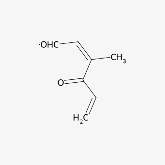 C=CC(=O)C(C)=C[C]=O